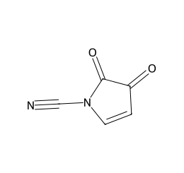 N#CN1C=CC(=O)C1=O